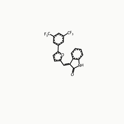 O=C1Nc2ccccc2C1=Cc1ccc(-c2cc(C(F)(F)F)cc(C(F)(F)F)c2)o1